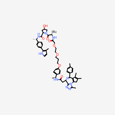 CC1=C(C)C2=C(C1)n1c(C)nnc1C(CC(=O)N[C@@H](C)c1ccc(OCCCOCCOCC(=O)N[C@H](C(=O)N3CC(O)CC3C(=O)N[C@@H](C)c3ccc(-c4[nH]ccc4C)cc3)C(C)(C)C)cc1)N=C2c1ccc(C)cc1